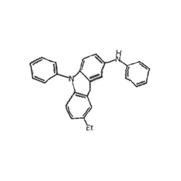 CCc1ccc2c(c1)c1cc(Nc3ccccc3)ccc1n2-c1ccccc1